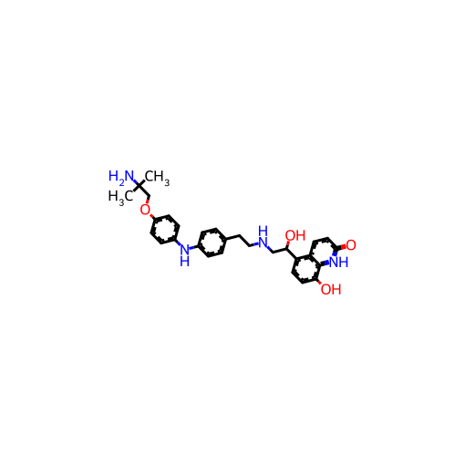 CC(C)(N)COc1ccc(Nc2ccc(CCNCC(O)c3ccc(O)c4[nH]c(=O)ccc34)cc2)cc1